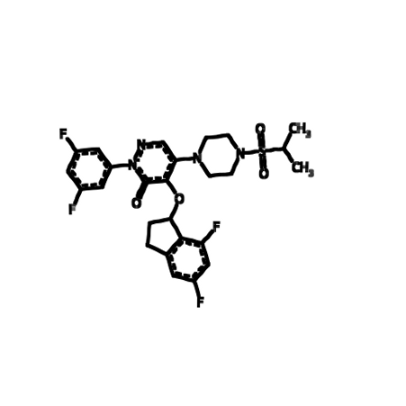 CC(C)S(=O)(=O)N1CCN(c2cnn(-c3cc(F)cc(F)c3)c(=O)c2OC2CCc3cc(F)cc(F)c32)CC1